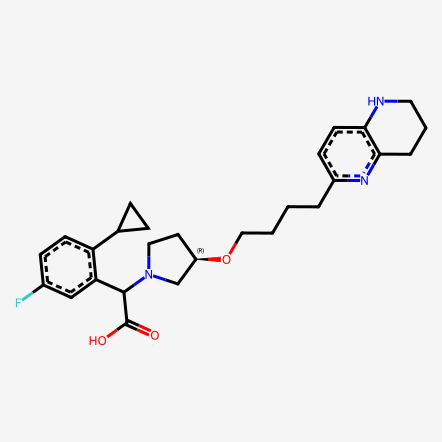 O=C(O)C(c1cc(F)ccc1C1CC1)N1CC[C@@H](OCCCCc2ccc3c(n2)CCCN3)C1